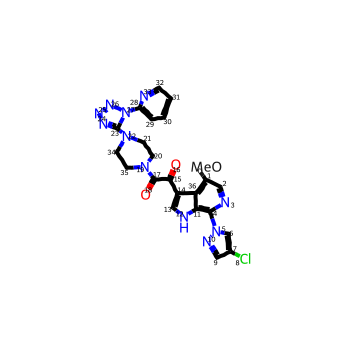 COc1cnc(-n2cc(Cl)cn2)c2[nH]cc(C(=O)C(=O)N3CCN(c4nnnn4-c4ccccn4)CC3)c12